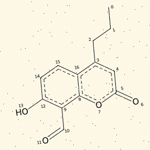 CCCc1cc(=O)oc2c(C=O)c(O)ccc12